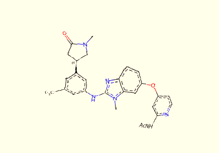 CC(=O)Nc1cc(Oc2ccc3nc(Nc4cc([C@H]5CC(=O)N(C)C5)cc(C(F)(F)F)c4)n(C)c3c2)ccn1